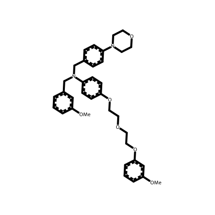 COc1cccc(CN(Cc2ccc(N3CCOCC3)cc2)c2ccc(OCCOCCOc3cccc(OC)c3)cc2)c1